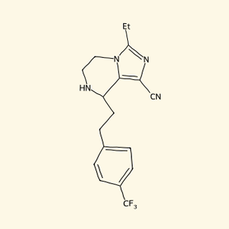 CCc1nc(C#N)c2n1CCNC2CCc1ccc(C(F)(F)F)cc1